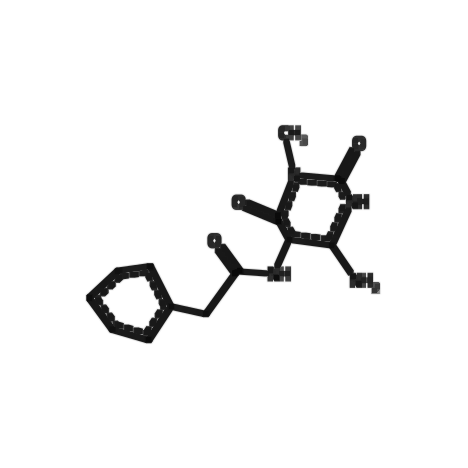 Cn1c(=O)[nH]c(N)c(NC(=O)Cc2ccccc2)c1=O